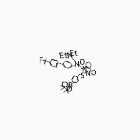 CCN(CC)CCN(Cc1ccc(-c2ccc(C(C)(C)F)cc2)cc1)C(=O)Cn1c(SCc2ccc(B3OC(C)(C)C(C)(C)O3)cc2)nc(=O)c2c1CCC2